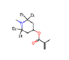 C=C(C)C(=O)OC1CC(CC)(CC)N(C)C(CC)(CC)C1